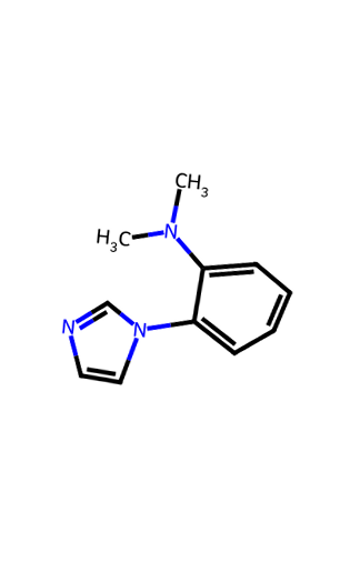 CN(C)c1ccccc1-n1ccnc1